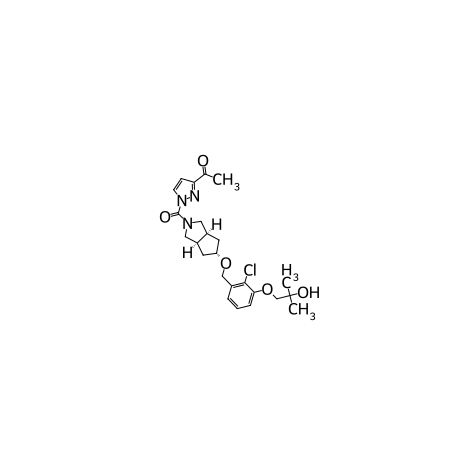 CC(=O)c1ccn(C(=O)N2C[C@H]3C[C@H](OCc4cccc(OCC(C)(C)O)c4Cl)C[C@H]3C2)n1